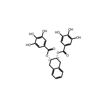 O=C(O[C@H]1Cc2ccccc2C[C@H]1OC(=O)c1cc(O)c(O)c(O)c1)c1cc(O)c(O)c(O)c1